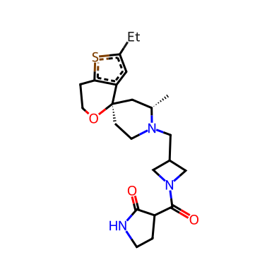 CCc1cc2c(s1)CCO[C@@]21CCN(CC2CN(C(=O)C3CCNC3=O)C2)[C@@H](C)C1